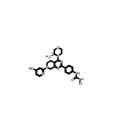 CCNC(=O)Nc1ccc(-c2nc3c(c(N4CCOC[C@@H]4C)n2)CCN(c2cc(C#N)ccn2)C3)cc1